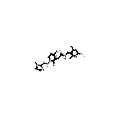 Cc1cc(N)nc(C)c1CNC(=O)Cc1c(C)ccn(NCc2nccn2C)c1=O